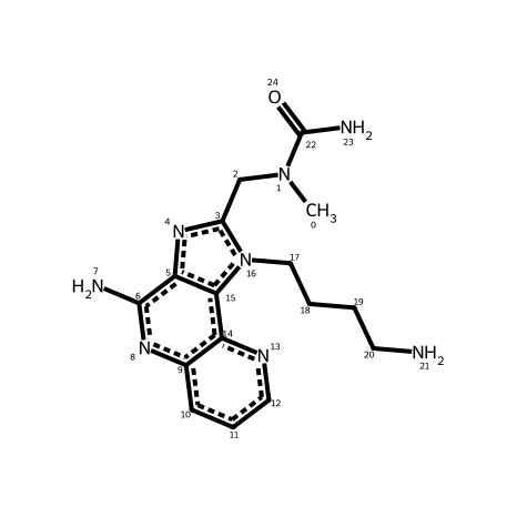 CN(Cc1nc2c(N)nc3cccnc3c2n1CCCCN)C(N)=O